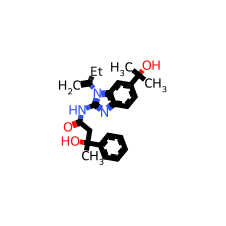 C=C(CC)n1c(NC(=O)CC(C)(O)c2ccccc2)nc2ccc(C(C)(C)O)cc21